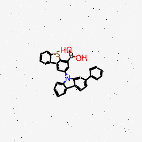 OB(O)c1cc(-n2c3ccccc3c3ccc(-c4ccccc4)cc32)cc2c1sc1ccccc12